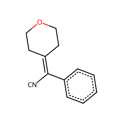 [C-]#[N+]C(=C1CCOCC1)c1ccccc1